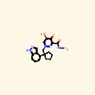 CNC(=O)c1nn(CC2(c3cccc4[nH]ncc34)CCCC2)cc(O)c1=O